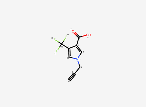 C#CCn1cc(C(=O)O)c(C(F)(F)F)c1